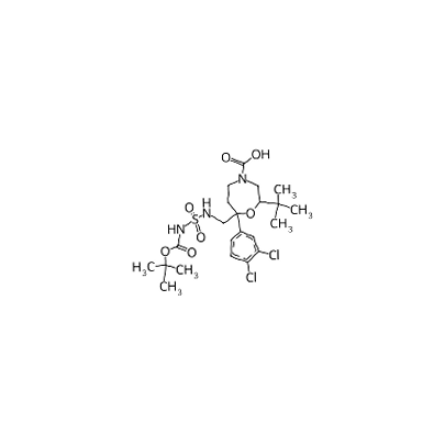 CC(C)(C)OC(=O)NS(=O)(=O)NCC1(c2ccc(Cl)c(Cl)c2)CCN(C(=O)O)CC(C(C)(C)C)O1